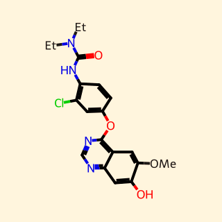 CCN(CC)C(=O)Nc1ccc(Oc2ncnc3cc(O)c(OC)cc23)cc1Cl